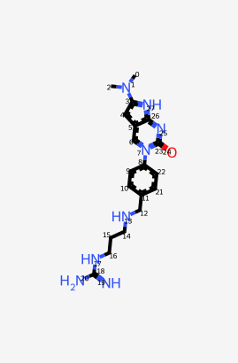 CN(C)c1cc2cn(-c3ccc(CNCCCNC(=N)N)cc3)c(=O)nc2[nH]1